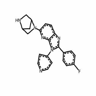 Fc1ccc(-c2nc3ccc(N4CC5CC4CN5)nc3n2-c2ccncc2)cc1